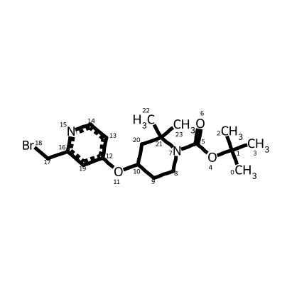 CC(C)(C)OC(=O)N1CCC(Oc2ccnc(CBr)c2)CC1(C)C